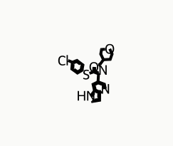 Clc1ccc(Sc2oc(C3CCOCC3)nc2-c2cnc3cc[nH]c3c2)cc1